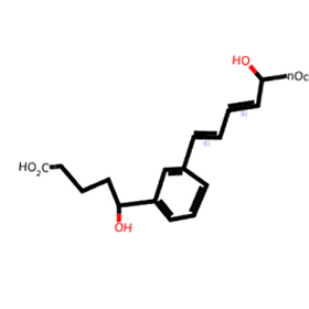 CCCCCCCCC(O)/C=C/C=C/c1cccc(C(O)CCCC(=O)O)c1